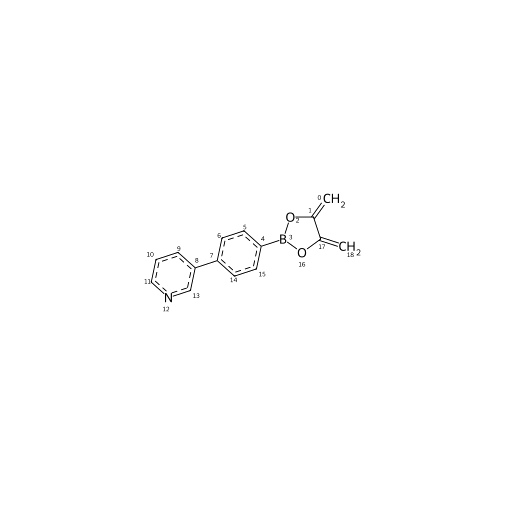 C=C1OB(c2ccc(-c3cccnc3)cc2)OC1=C